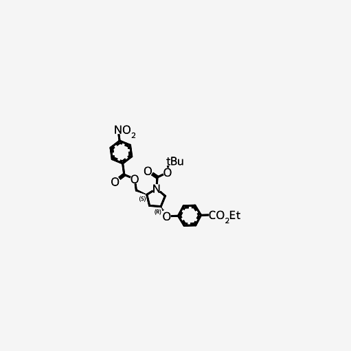 CCOC(=O)c1ccc(O[C@@H]2C[C@@H](COC(=O)c3ccc([N+](=O)[O-])cc3)N(C(=O)OC(C)(C)C)C2)cc1